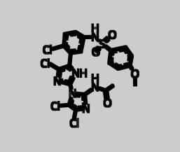 COc1ccc(S(=O)(=O)Nc2ccc(Cl)c(-c3[nH]c(-n4c(NC(C)=O)nc(Cl)c4Cl)nc3Cl)c2)cc1